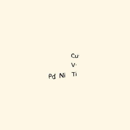 [Cu].[Ni].[Pd].[Ti].[V]